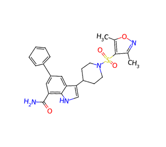 Cc1noc(C)c1S(=O)(=O)N1CCC(c2c[nH]c3c(C(N)=O)cc(-c4ccccc4)cc23)CC1